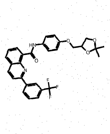 CC1(C)OCC(COc2ccc(NC(=O)c3cccc4ccc(-c5cccc(C(F)(F)F)c5)nc34)cc2)O1